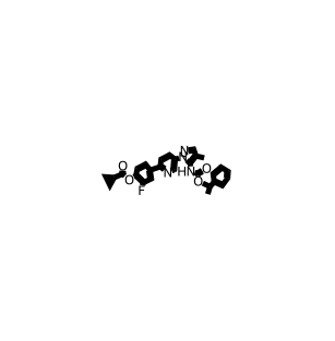 Cc1cnn(-c2ccc(-c3ccc(OC(=O)C4CC4)c(F)c3)nc2)c1NC(=O)OC(C)c1ccccc1